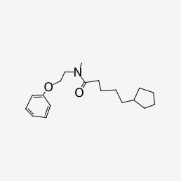 CN(CCOc1ccccc1)C(=O)CCCCC1CCCC1